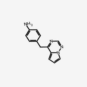 Nc1ccc(Cc2ncnn3cccc23)cc1